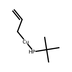 C=C[CH2][Cu][PH]C(C)(C)C